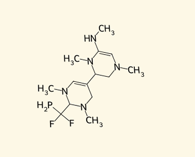 CNC1=CN(C)CC(C2=CN(C)C(C(F)(F)P)N(C)C2)N1C